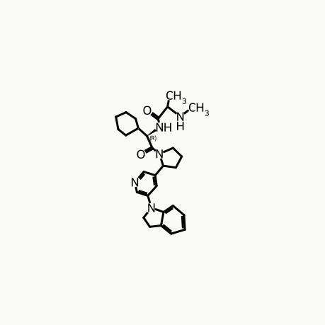 CNC(C)C(=O)N[C@@H](C(=O)N1CCCC1c1cncc(N2CCc3ccccc32)c1)C1CCCCC1